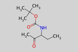 CCC(NC(=O)OC(C)(C)C)C(C)=O